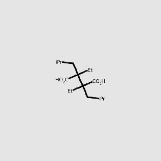 CCC(CC(C)C)(C(=O)O)C(CC)(CC(C)C)C(=O)O